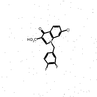 O=C(O)c1cn(Cc2ccc(F)c(F)c2)c2cc(Cl)ccc2c1=O